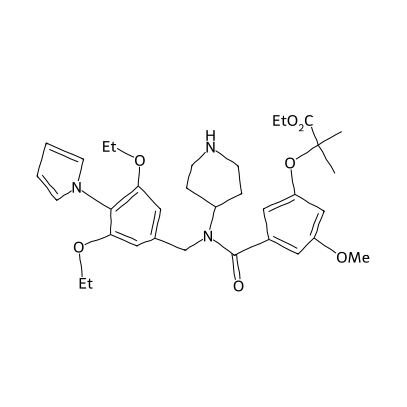 CCOC(=O)C(C)(C)Oc1cc(OC)cc(C(=O)N(Cc2cc(OCC)c(-n3cccc3)c(OCC)c2)C2CCNCC2)c1